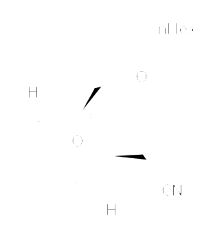 CCCCCCOC[C@H]1[C@@H](CC#N)[C@H]2CC[C@@H]1O2